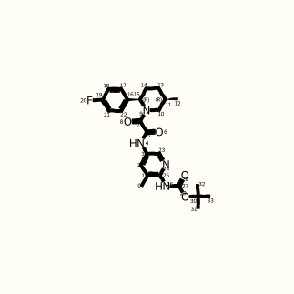 Cc1cc(NC(=O)C(=O)N2C[C@H](C)CC[C@@H]2c2ccc(F)cc2)cnc1NC(=O)OC(C)(C)C